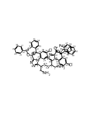 NCC(SSC(CN)c1nnc(C(=O)OCc2ccccc2)n1-c1ccc(Cl)cc1C(=O)c1ccccc1F)c1nnc(C(=O)OCc2ccccc2)n1-c1ccc(Cl)cc1C(=O)c1ccccc1F